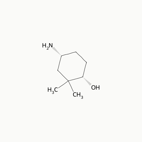 CC1(C)C[C@H](N)CC[C@@H]1O